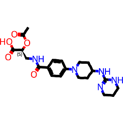 CC(=O)O[C@@H](CNC(=O)c1ccc(N2CCC(NC3=NCCCN3)CC2)cc1)C(=O)O